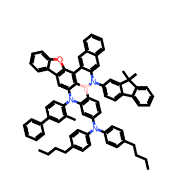 CCCCc1ccc(N(c2ccc(CCCC)cc2)c2ccc3c(c2)N(c2ccc(-c4ccccc4)cc2C)c2cc4c(oc5ccccc54)c4c2B3N(c2ccc3c(c2)C(C)(C)c2ccccc2-3)c2cc3ccccc3cc2-4)cc1